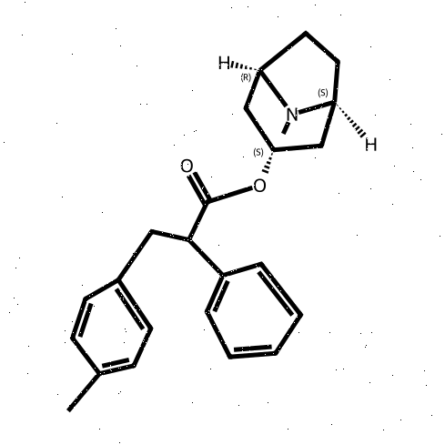 Cc1ccc(CC(C(=O)O[C@@H]2C[C@H]3CC[C@@H](C2)N3C)c2ccccc2)cc1